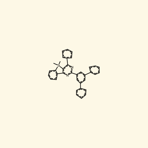 C[Si]1(C)c2ccccc2-c2nc(-c3cc(-c4ccccc4)cc(-c4ccccc4)c3)nc(-c3ccccc3)c21